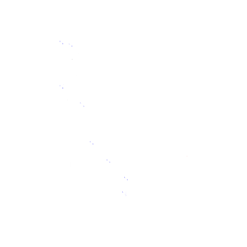 CC(C)c1cc(NC(=O)Nc2cc(Oc3nccc(-c4cnn(C)c4)n3)ccc2F)n(-c2ccc(CO)cc2)n1